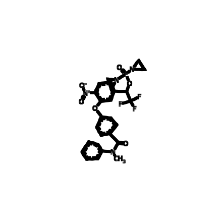 CN(C(=O)c1ccc(Oc2cc(C(OP(=O)(N3CC3)N3CC3)C(F)(F)F)ccc2[N+](=O)[O-])cc1)c1ccccc1